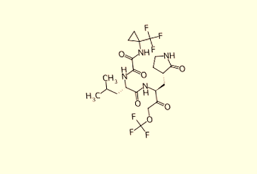 CC(C)C[C@H](NC(=O)C(=O)NC1(C(F)(F)F)CC1)C(=O)N[C@@H](C[C@@H]1CCNC1=O)C(=O)COC(F)(F)F